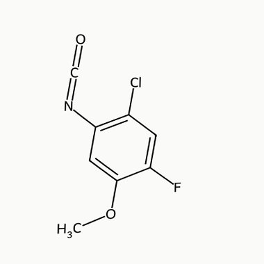 COc1cc(N=C=O)c(Cl)cc1F